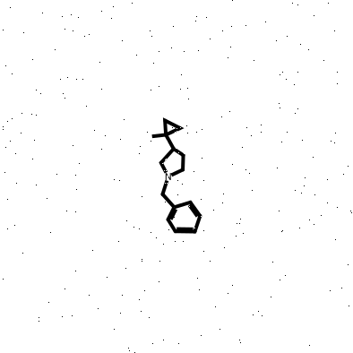 CC1(C2CCN(Cc3ccccc3)C2)CC1